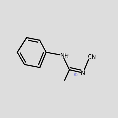 C/C(=N/C#N)Nc1ccccc1